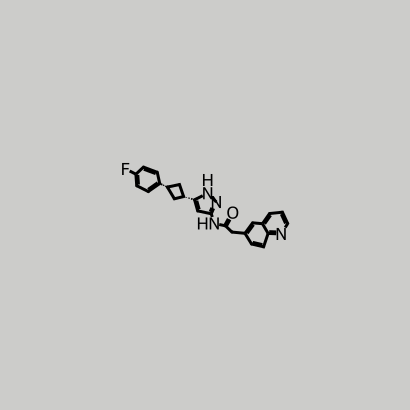 O=C(Cc1ccc2ncccc2c1)Nc1cc([C@H]2C[C@@H](c3ccc(F)cc3)C2)[nH]n1